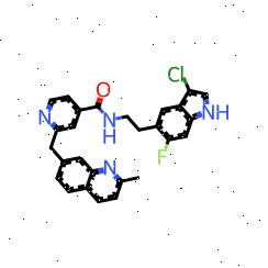 Cc1ccc2ccc(Cc3cc(C(=O)NCCc4cc5c(Cl)c[nH]c5cc4F)ccn3)cc2n1